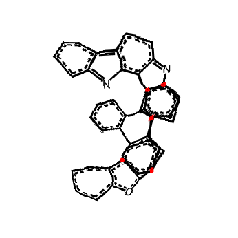 c1ccc(-c2ccc3c(c2-c2ccccc2-c2c(-c4ccccc4)ccc4oc5ccccc5c24)-c2c4c(ccc2=N3)=c2ccccc2=N4)cc1